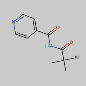 CCC(C)(C)C(=O)NC(=O)c1ccncc1